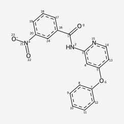 O=C(Nc1cc(Oc2ccccc2)ccn1)c1cccc([N+](=O)[O-])c1